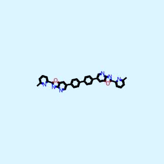 Cc1cccc(-c2nc3ncc(-c4ccc(-c5ccc(-c6cnc7nc(-c8cccc(C)n8)oc7c6)cc5)cc4)cc3o2)n1